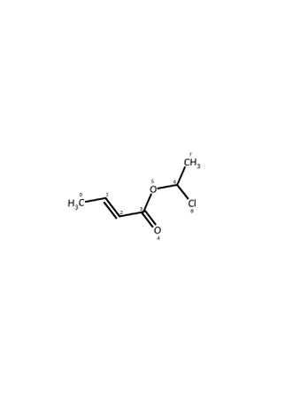 CC=CC(=O)OC(C)Cl